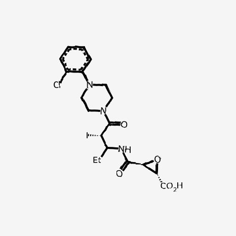 CCC(NC(=O)[C@H]1O[C@@H]1C(=O)O)[C@H](I)C(=O)N1CCN(c2ccccc2Cl)CC1